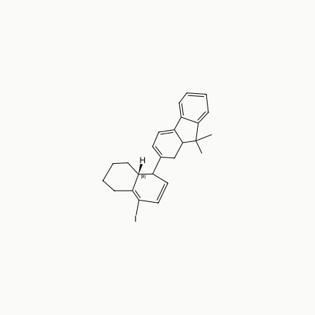 CC1(C)c2ccccc2C2=CC=C(C3C=CC(I)=C4CCCC[C@@H]43)CC21